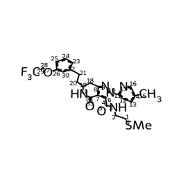 CSCCNC(=O)c1c2c(nn1-c1ccc(C)cn1)CC(CCc1cccc(OCC(F)(F)F)c1)NC2=O